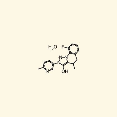 Cc1ccc(N2[N]N3C(=C2O)C(C)Cc2cccc(F)c23)cn1.O